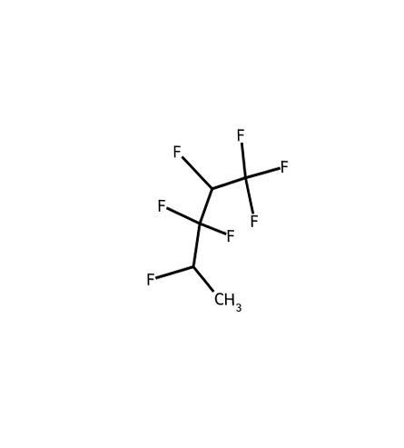 CC(F)C(F)(F)C(F)C(F)(F)F